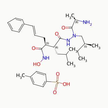 CC[C@H](C)CN(NC(=O)[C@H](CC(C)C)[C@H](CC=Cc1ccccc1)C(=O)NO)C(=O)[C@@H](C)N.Cc1ccc(S(=O)(=O)O)cc1